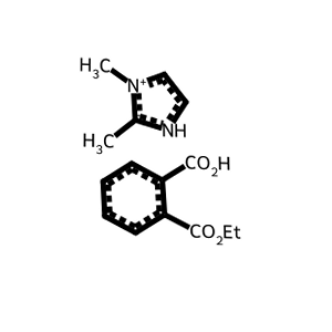 CCOC(=O)c1ccccc1C(=O)O.Cc1[nH]cc[n+]1C